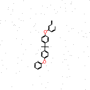 C=C/C=C(\C=C/C)Oc1ccc(C(C)(C)c2ccc(Oc3ccccc3)cc2)cc1